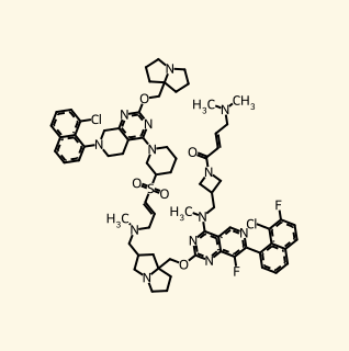 CN(C)C/C=C/C(=O)N1CC(CN(C)c2nc(OCC34CCCN3CC(CN(C)C/C=C/S(=O)(=O)C3CCCN(c5nc(OCC67CCCN6CCC7)nc6c5CCN(c5cccc7cccc(Cl)c57)C6)C3)C4)nc3c(F)c(-c4cccc5ccc(F)c(Cl)c45)ncc23)C1